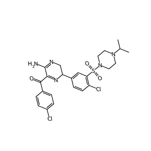 CC(C)N1CCN(S(=O)(=O)c2cc(C3CN=C(N)C(C(=O)c4ccc(Cl)cc4)=N3)ccc2Cl)CC1